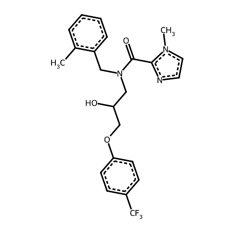 Cc1ccccc1CN(CC(O)COc1ccc(C(F)(F)F)cc1)C(=O)c1nccn1C